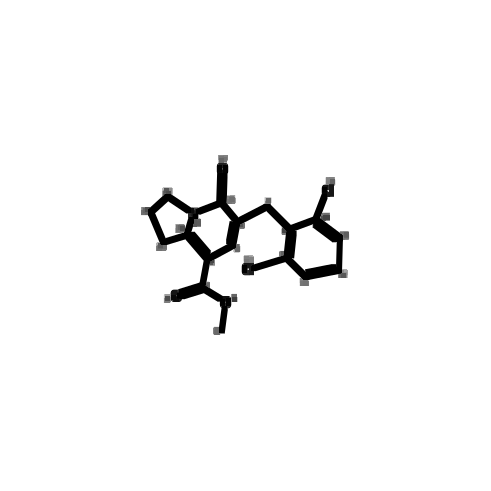 COC(=O)c1cc(Cc2c(Cl)cccc2Cl)c(=O)n2c1CCC2